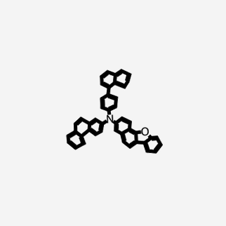 c1ccc2c(-c3ccc(N(c4ccc5c(ccc6ccccc65)c4)c4ccc5c(ccc6c7ccccc7oc56)c4)cc3)cccc2c1